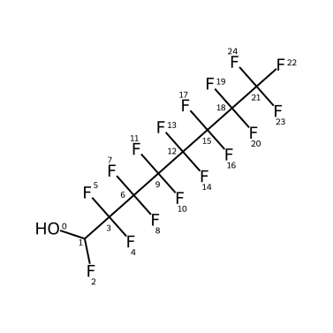 OC(F)C(F)(F)C(F)(F)C(F)(F)C(F)(F)C(F)(F)C(F)(F)C(F)(F)F